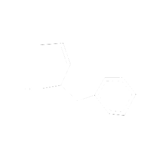 C/C=C\C(C=O)Cc1ccccc1